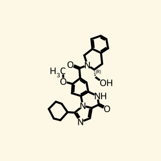 COc1cc2c(cc1C(=O)N1Cc3ccccc3C[C@@H]1CO)[nH]c(=O)c1cnc(C3CCCCC3)n12